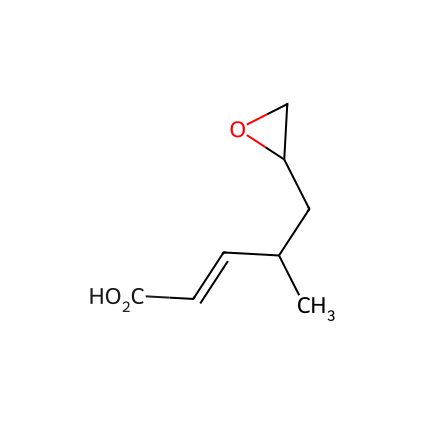 CC(C=CC(=O)O)CC1CO1